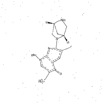 CC(C)(C)n1cc(C(=O)O)c(=O)c2cc(F)c(N3C[C@H]4C[C@@H]3CN4)nc21